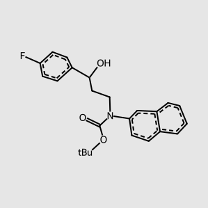 CC(C)(C)OC(=O)N(CCC(O)c1ccc(F)cc1)c1ccc2ccccc2c1